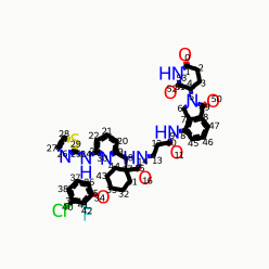 O=C1CCC(N2Cc3c(NC(=O)CCNC(=O)[C@]4(Cc5cccc(Nc6nccs6)n5)CC[C@@H](Oc5cccc(Cl)c5F)CC4)cccc3C2=O)C(=O)N1